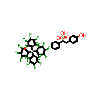 Fc1c(F)c(F)c([B-](c2c(F)c(F)c(F)c(F)c2F)(c2c(F)c(F)c(F)c(F)c2F)c2c(F)c(F)c(F)c(F)c2F)c(F)c1F.O=S(=O)(O)C(Cc1ccc(O)cc1)c1ccccc1